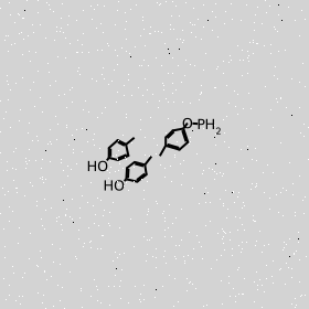 Cc1ccc(O)cc1.Cc1ccc(O)cc1.Cc1ccc(OP)cc1